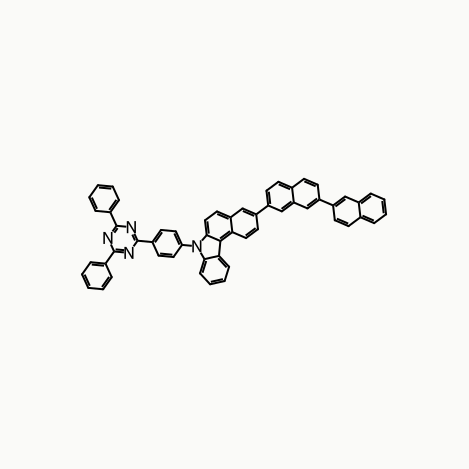 c1ccc(-c2nc(-c3ccccc3)nc(-c3ccc(-n4c5ccccc5c5c6ccc(-c7ccc8ccc(-c9ccc%10ccccc%10c9)cc8c7)cc6ccc54)cc3)n2)cc1